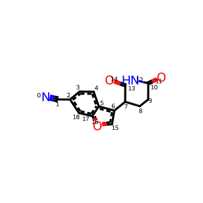 N#Cc1ccc2c(C3CCC(=O)NC3=O)coc2c1